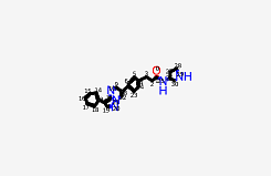 O=C(CCc1ccc(-c2cnc3c(-c4ccccc4)cnn3c2)cc1)NC1CCNC1